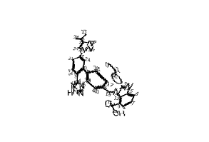 CCOc1nc2cccc(C(=O)O)c2n1Cc1ccc(-c2cc(-n3cc(C(C)C)nn3)ccc2-c2nn[nH]n2)cc1